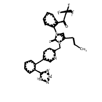 CCCc1cn(-c2ccccc2C(=O)C(F)(F)F)c(=O)n1Cc1ccc(-c2ccccc2-c2nnn[nH]2)cn1